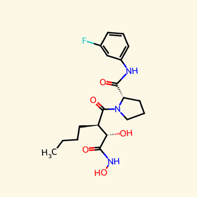 CCCC[C@@H](C(=O)N1CCC[C@H]1C(=O)Nc1cccc(F)c1)[C@H](O)C(=O)NO